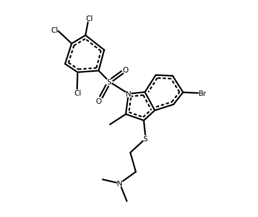 Cc1c(SCCN(C)C)c2cc(Br)ccc2n1S(=O)(=O)c1cc(Cl)c(Cl)cc1Cl